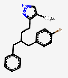 CCOC(=O)c1c[nH]nc1CCC(Cc1ccccc1)Cc1ccc(Br)cc1